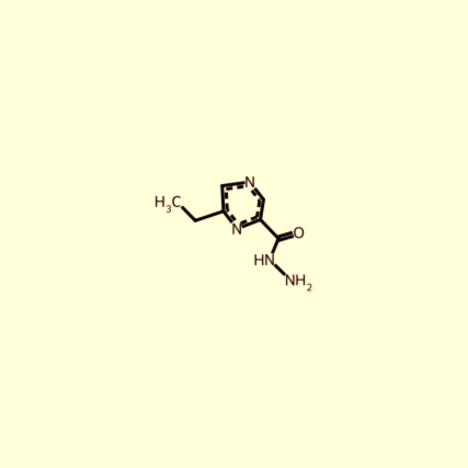 CCc1cncc(C(=O)NN)n1